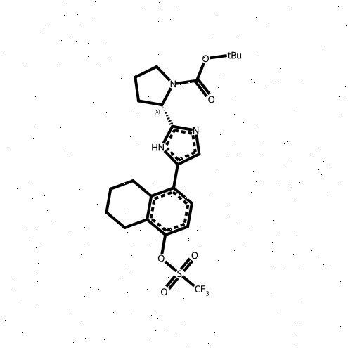 CC(C)(C)OC(=O)N1CCC[C@H]1c1ncc(-c2ccc(OS(=O)(=O)C(F)(F)F)c3c2CCCC3)[nH]1